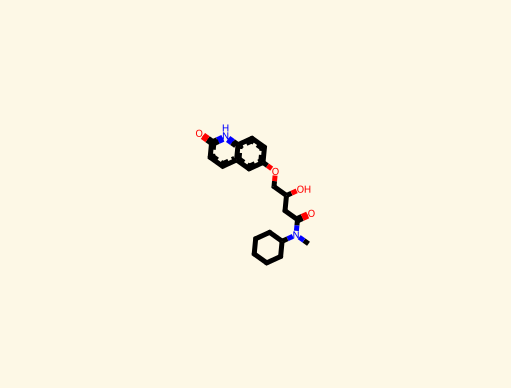 CN(C(=O)CC(O)COc1ccc2[nH]c(=O)ccc2c1)C1CCCCC1